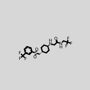 O=C(CN[C@H]1CC[C@H](CS(=O)(=O)c2cccc(C(F)(F)F)c2)CC1)NCC(F)(F)F